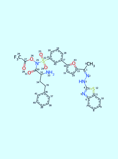 CC(=NNc1nc2ccccc2s1)c1ccc(-c2cccc(S(=O)(=O)N(OC(=O)C(F)(F)F)C(=O)C(N)CCc3ccccc3)c2)o1